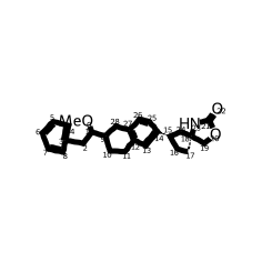 COC(Cc1ccccc1)C1CCc2cc([C@H]3CC[C@]4(COC(=O)N4)C3)ccc2C1